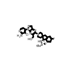 CC(C)(C)[S@@+]([O-])N[C@@H]1c2ccc(F)cc2CC12CCN(c1nc3cnn(-c4ccnc(N)c4Cl)c3nc1CO)CC2